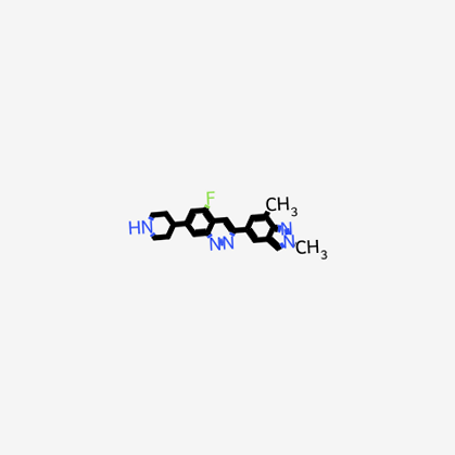 Cc1cc(-c2cc3c(F)cc(C4CCNCC4)cc3nn2)cc2cn(C)nc12